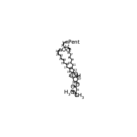 CCCCC/C=C\C/C=C\CCCCCCCCC1(CCCCCCCC/C=C\CCCCCCCC)OC2CC(OC(=O)CN(C)C)C[C@@H]2O1